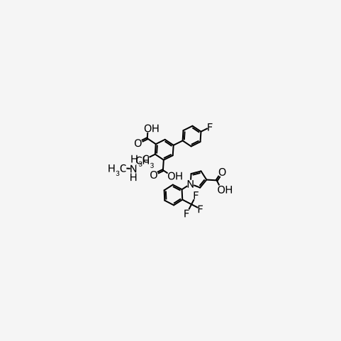 CNC.Cc1c(C(=O)O)cc(-c2ccc(F)cc2)cc1C(=O)O.O=C(O)c1ccn(-c2ccccc2C(F)(F)F)c1